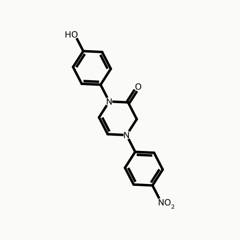 O=C1CN(c2ccc([N+](=O)[O-])cc2)C=CN1c1ccc(O)cc1